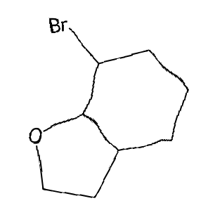 BrC1CCCC2CCOC12